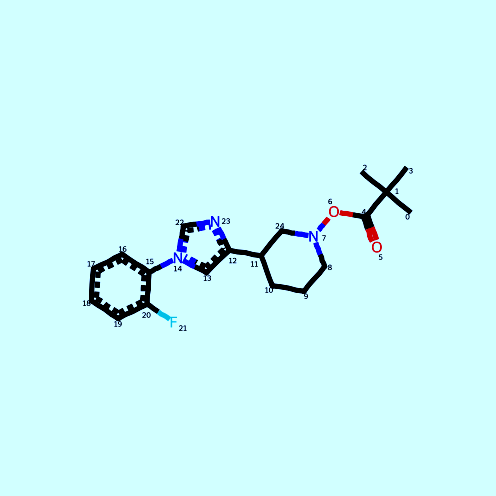 CC(C)(C)C(=O)ON1CCCC(c2cn(-c3ccccc3F)cn2)C1